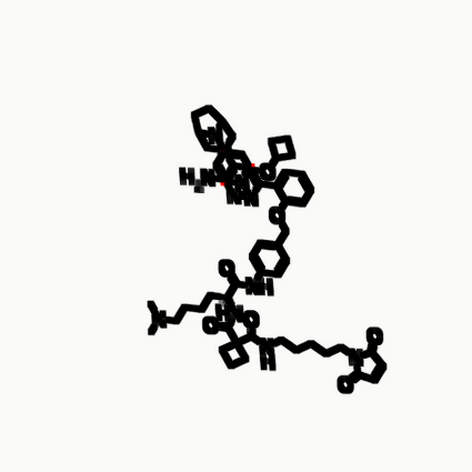 CN(C)CCCC[C@H](NC(=O)C1(C(=O)NCCCCCN2C(=O)C=CC2=O)CCC1)C(=O)Nc1ccc(COc2ccccc2-c2cc(N3CC4CCC(C3)N4c3ccnc(OC4CCC4)c3)c(N)nn2)cc1